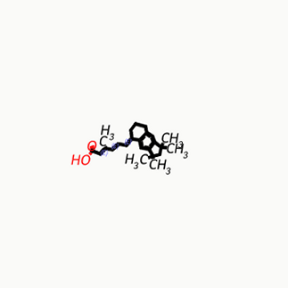 CC(/C=C/C=C1\CCCc2cc3c(cc21)C(C)(C)CC3(C)C)=C\C(=O)O